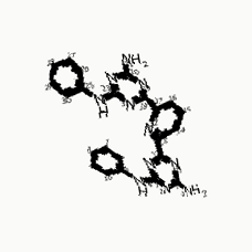 Nc1nc(Nc2ccccc2)nc(-c2cccc(-c3nc(N)nc(Nc4ccccc4)n3)n2)n1